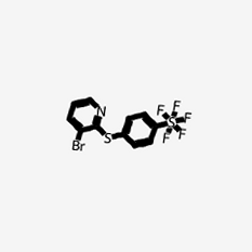 FS(F)(F)(F)(F)c1ccc(Sc2ncccc2Br)cc1